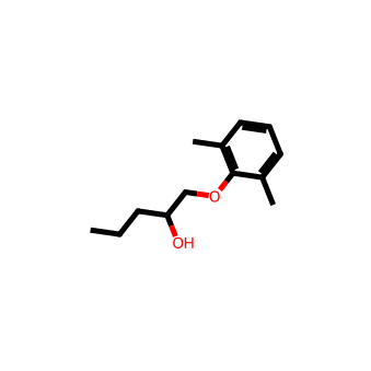 CCCC(O)COc1c(C)cccc1C